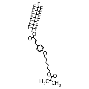 C=C(C)C(=O)OCCCCCCOc1ccc(C=CC(=O)OCC(F)(F)C(F)(F)C(F)(F)C(F)(F)C(F)(F)C(F)(F)C(F)(F)F)cc1